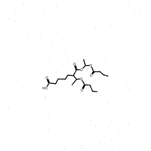 CCCC(=O)OC(C)OC(=O)C(CCCCC(=O)O)C(C)OC(=O)CCC